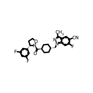 Cc1nn(C[C@H]2CC[C@H](C(=O)N3OCC[C@H]3c3cc(F)cc(F)c3)CC2)c2cc(F)c(C#N)cc12